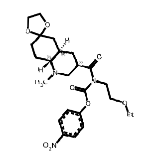 CCOCCN(C(=O)Oc1ccc([N+](=O)[O-])cc1)C(=O)[C@@H]1C[C@@H]2CC3(CC[C@H]2N(C)C1)OCCO3